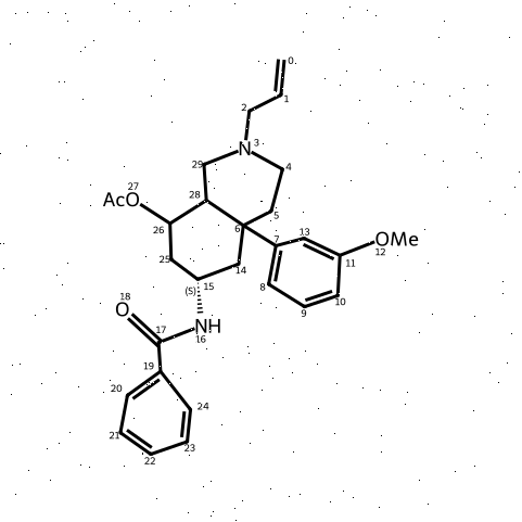 C=CCN1CCC2(c3cccc(OC)c3)C[C@H](NC(=O)c3ccccc3)CC(OC(C)=O)C2C1